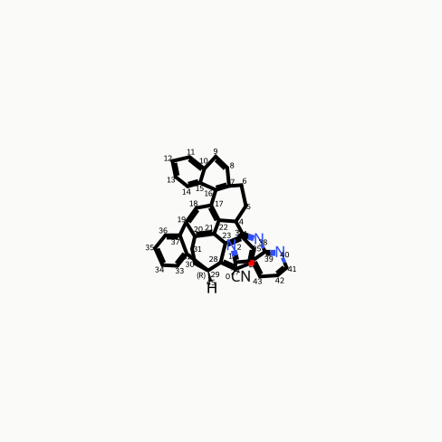 N#Cc1nc(C2CCc3ccc4ccccc4c3-c3cc4c5c(c32)-c2ccccc2[C@H](CC5)c2ccccc2-4)nc2ncccc12